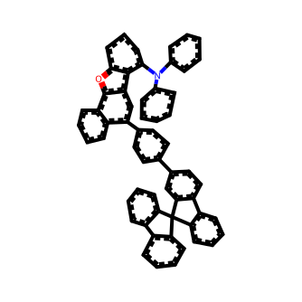 c1ccc(N(c2ccccc2)c2cccc3oc4c5ccccc5c(-c5ccc(-c6ccc7c(c6)C6(c8ccccc8-c8ccccc86)c6ccccc6-7)cc5)cc4c23)cc1